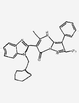 Cc1[nH]c2c(-c3ccccc3)c(C(F)(F)F)nn2c(=O)c1-c1nc2ccccc2n1CC1CCCC1